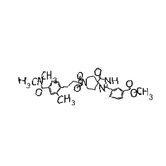 COC(=O)c1cccc(C2=NC3(CCN(S(=O)(=O)CCc4ccc(C(=O)N(C)C)cc4C)CC3)C(=O)N2)c1